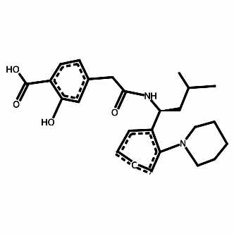 CC(C)C[C@H](NC(=O)Cc1ccc(C(=O)O)c(O)c1)c1ccccc1N1CCCCC1